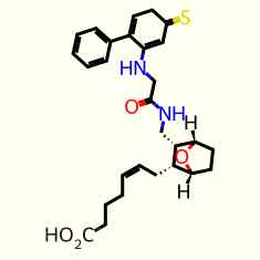 O=C(O)CCC/C=C\C[C@@H]1[C@H](CNC(=O)CNC2=CC(=S)CC=C2c2ccccc2)[C@@H]2CC[C@H]1O2